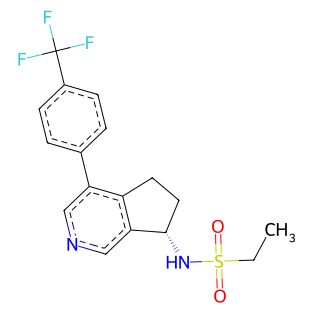 CCS(=O)(=O)N[C@H]1CCc2c(-c3ccc(C(F)(F)F)cc3)cncc21